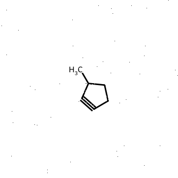 C[C]1C#CCC1